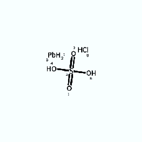 Cl.O=S(=O)(O)O.[PbH2]